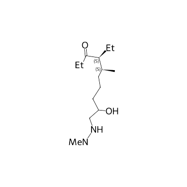 CCC(=O)[C@@H](CC)[C@@H](C)CCCC(O)CNNC